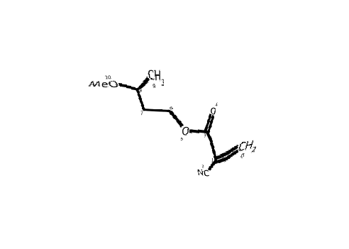 C=C(C#N)C(=O)OCCC(C)OC